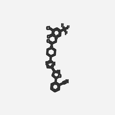 N#Cc1ccccc1C1CC(c2csc(C3CCN(C(=O)Cn4cc(C(F)(F)F)cc(Cl)c4=O)CC3)n2)=NO1